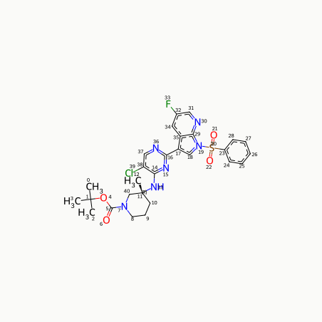 CC(C)(C)OC(=O)N1CCC[C@@](C)(Nc2nc(-c3cn(S(=O)(=O)c4ccccc4)c4ncc(F)cc34)ncc2Cl)C1